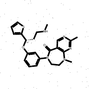 CNCC[C@H](Oc1cccc(N2CCN(C)c3nc(C)ncc3C2=O)c1)c1cccs1